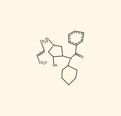 CCN1CC(O)C(N(C(=O)c2ccccc2)C2CCCCC2)C1.O=C(O)/C=C/C(=O)O